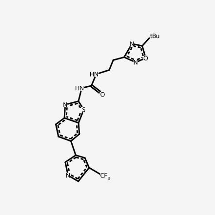 CC(C)(C)c1nc(CCNC(=O)Nc2nc3ccc(-c4cncc(C(F)(F)F)c4)cc3s2)no1